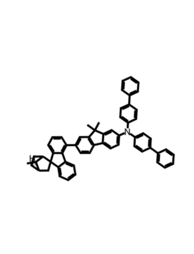 C[C@H]1C2CCC1C1(C2)c2ccccc2-c2c(-c3ccc4c(c3)C(C)(C)c3cc(N(c5ccc(-c6ccccc6)cc5)c5ccc(-c6ccccc6)cc5)ccc3-4)cccc21